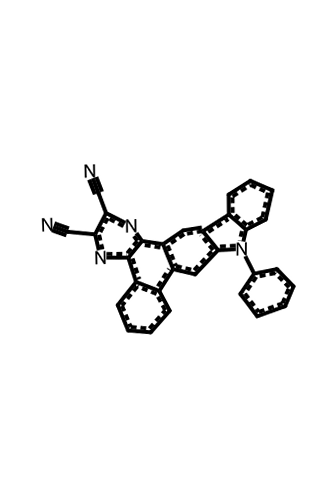 N#Cc1nc2c3ccccc3c3cc4c(cc3c2nc1C#N)c1ccccc1n4-c1ccccc1